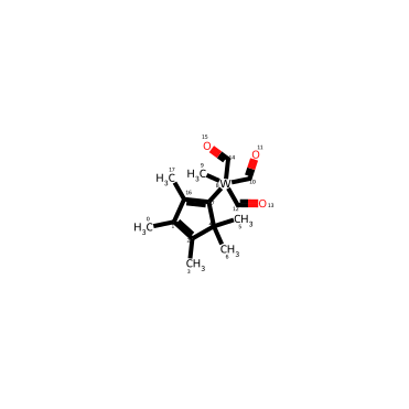 CC1=C(C)C(C)(C)[C]([W]([CH3])([CH]=O)([CH]=O)[CH]=O)=C1C